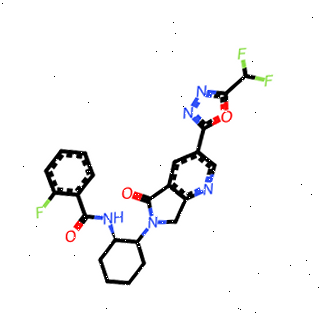 O=C(N[C@@H]1CCCCC1N1Cc2ncc(-c3nnc(C(F)F)o3)cc2C1=O)c1ccccc1F